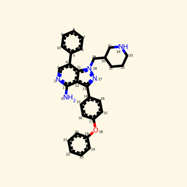 Nc1ncc(-c2ccccc2)c2c1c(-c1ccc(Oc3ccccc3)cc1)nn2CC1CCCNC1